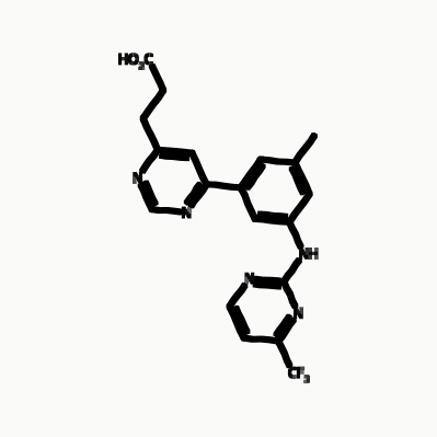 Cc1cc(Nc2nccc(C(F)(F)F)n2)cc(-c2cc(CCC(=O)O)ncn2)c1